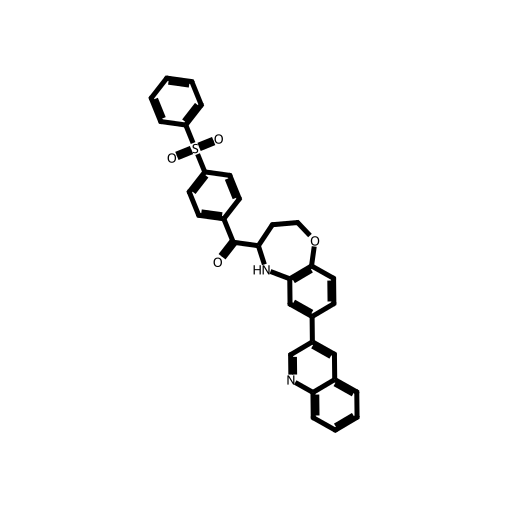 O=C(c1ccc(S(=O)(=O)c2ccccc2)cc1)C1CCOc2ccc(-c3cnc4ccccc4c3)cc2N1